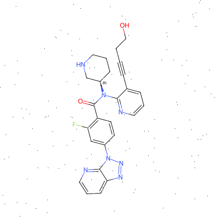 O=C(c1ccc(-n2nnc3cccnc32)cc1F)N(c1ncccc1C#CCCO)[C@@H]1CCCNC1